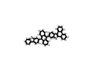 c1ccc2c(c1)sc1cc(-c3c4ccccc4c(-c4ccc5c(c4)sc4c6ccccc6c6ccccc6c54)c4ccccc34)ccc12